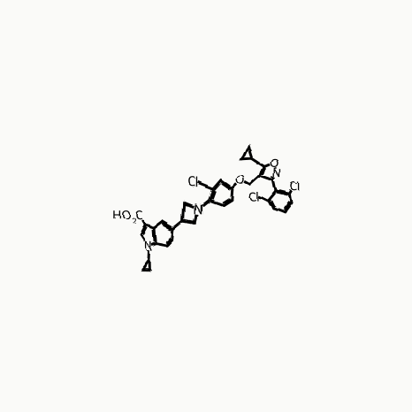 O=C(O)c1cn(C2CC2)c2ccc(C3CN(c4ccc(OCc5c(-c6c(Cl)cccc6Cl)noc5C5CC5)cc4Cl)C3)cc12